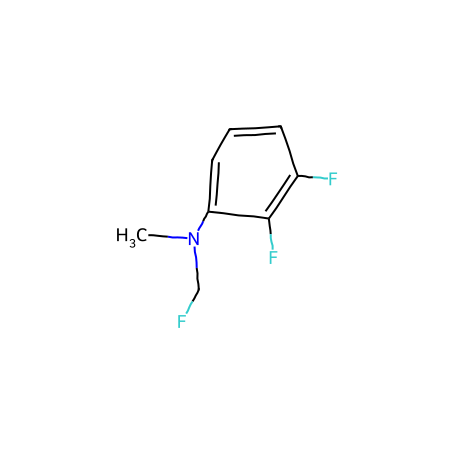 CN(CF)c1cccc(F)c1F